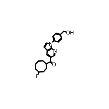 O=C(c1cnc2c(ccn2-c2ccc(CO)cc2)c1)C1CCCCC(F)CC1